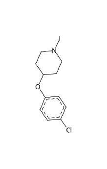 Clc1ccc(OC2CCN(I)CC2)cc1